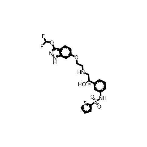 O=S(=O)(Nc1cccc([C@@H](O)CNCCOc2ccc3c(OC(F)F)n[nH]c3c2)c1)c1cccs1